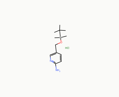 CC(C)(C)[Si](C)(C)OCc1ccc(N)nc1.Cl